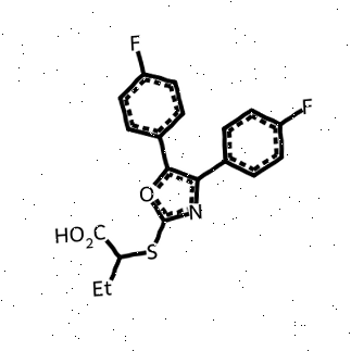 CCC(Sc1nc(-c2ccc(F)cc2)c(-c2ccc(F)cc2)o1)C(=O)O